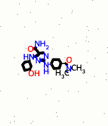 CN(C)C(=O)[C@H]1CC[C@H](Nc2ncc(C(N)=O)c(N[C@@H]3CCC[C@H](O)C3)n2)CC1